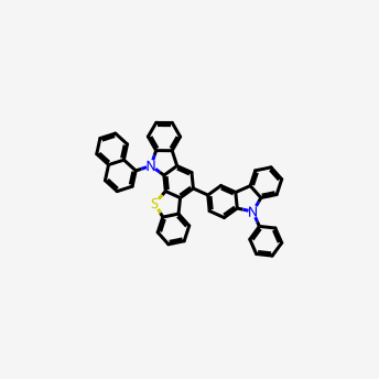 c1ccc(-n2c3ccccc3c3cc(-c4cc5c6ccccc6n(-c6cccc7ccccc67)c5c5sc6ccccc6c45)ccc32)cc1